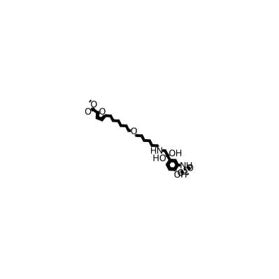 COC(=O)c1ccc(CCCCCCOCCCCCCNCC(O)(O)c2ccc(O)c(NS(C)(=O)=O)c2)o1